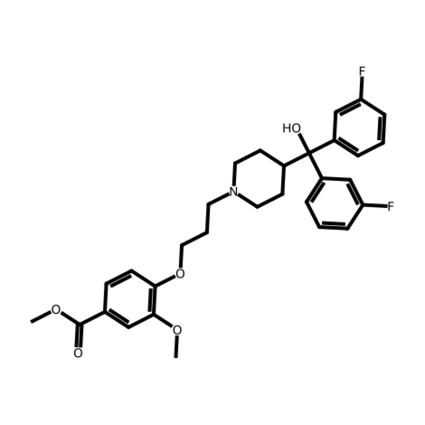 COC(=O)c1ccc(OCCCN2CCC(C(O)(c3cccc(F)c3)c3cccc(F)c3)CC2)c(OC)c1